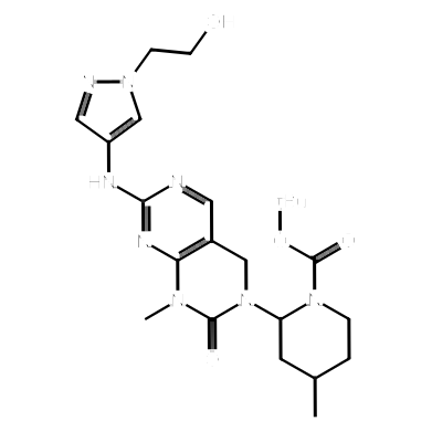 CC1CCN(C(=O)OC(C)(C)C)C(N2Cc3cnc(Nc4cnn(CCO)c4)nc3N(C)C2=O)C1